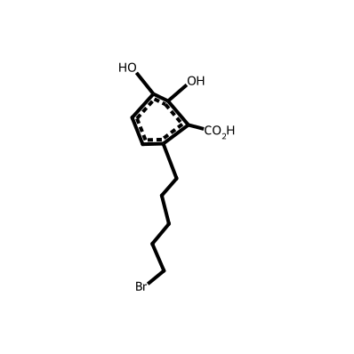 O=C(O)c1c(CCCCCBr)ccc(O)c1O